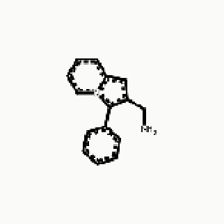 NCc1cc2ccccn2c1-c1ccccc1